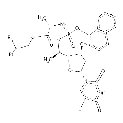 CCC(CC)COC(=O)[C@H](C)N[P@@](=O)(Oc1cccc2ccccc12)O[C@H](C)[C@H]1O[C@@H](n2cc(F)c(=O)[nH]c2=O)C[C@@H]1O